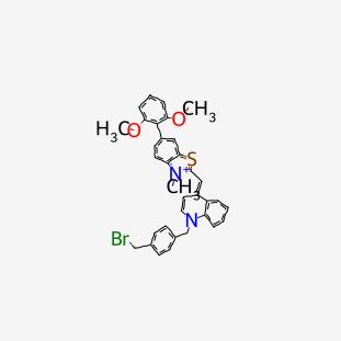 COc1cccc(OC)c1-c1ccc2c(c1)sc(C=C1C=CN(Cc3ccc(CBr)cc3)c3ccccc31)[n+]2C